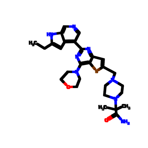 CCc1cc2c(-c3nc(N4CCOCC4)c4sc(CN5CCN(C(C)(C)C(N)=O)CC5)cc4n3)cncc2[nH]1